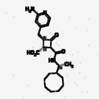 C[C@@H](NC(=O)C1C(=O)[C@H](Cc2ccnc(N)c2)[C@H]1C(=O)O)C1CCCCCCC1